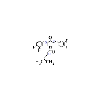 CN(C)C/C=C/C(=O)N1C/C(=C\c2ccc(F)c(F)c2)C(=O)/C(=C/c2ccc(F)c(F)c2)C1